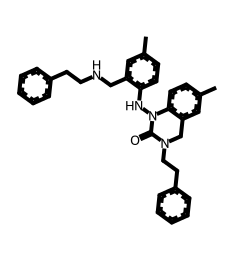 Cc1ccc(NN2C(=O)N(CCc3ccccc3)Cc3cc(C)ccc32)c(CNCCc2ccccc2)c1